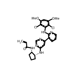 C=CC(=O)N[C@H]1CCC[C@H]1Nc1cc(-c2cccnc2Nc2c(Cl)c(OC)cc(OC)c2Cl)ncn1